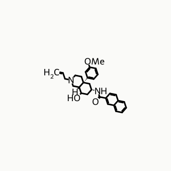 C=CCN1CC[C@@]2(c3cccc(OC)c3)C[C@H](NC(=O)c3ccc4ccccc4c3)CC(O)[C@@H]2C1